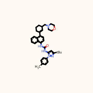 Cc1ccc(-n2nc(C(C)(C)C)cc2NC(=O)Nc2ccc(C3=CC(CN4CCOCC4)CCC3)c3ccccc23)cc1